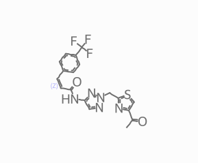 CC(=O)c1csc(Cn2ncc(NC(=O)/C=C\c3ccc(C(F)(F)F)cc3)n2)n1